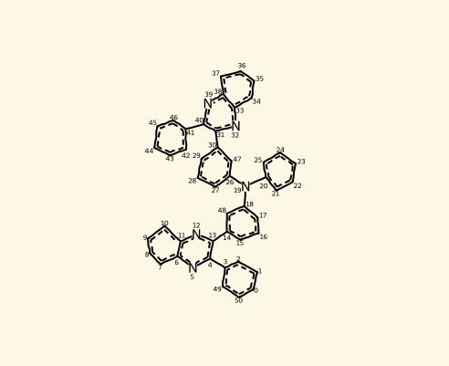 c1ccc(-c2nc3ccccc3nc2-c2cccc(N(c3ccccc3)c3cccc(-c4nc5ccccc5nc4-c4ccccc4)c3)c2)cc1